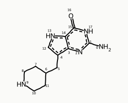 Nc1nc2c(CC3CCNCC3)c[nH]c2c(=O)[nH]1